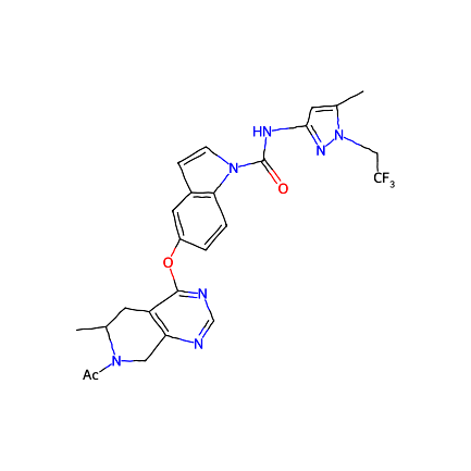 CC(=O)N1Cc2ncnc(Oc3ccc4c(ccn4C(=O)Nc4cc(C)n(CC(F)(F)F)n4)c3)c2CC1C